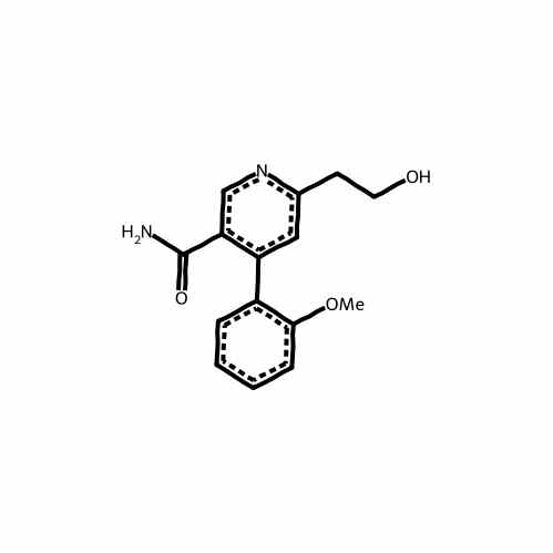 COc1ccccc1-c1cc(CCO)ncc1C(N)=O